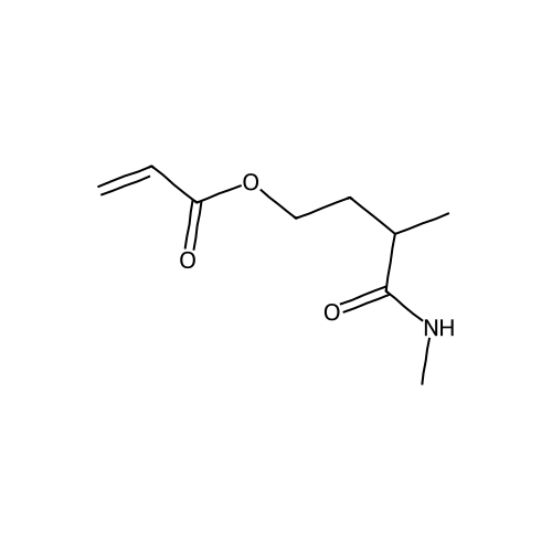 C=CC(=O)OCCC(C)C(=O)NC